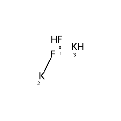 F.[F][K].[KH]